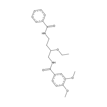 CCOC(CCNC(=O)c1ccccc1)CNC(=O)c1ccc(OC)c(OC)c1